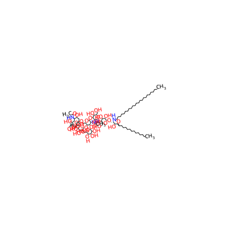 CCCCCCCCCCCCC/C=C/[C@@H](O)[C@H](CO[C@@H]1OC(CO)[C@@H](O[C@@H]2OC(CO)[C@H](O)[C@H](O[C@@H]3OC(CO[C@]4(C(=O)O)CC(O)[C@@H](NC(C)=O)C([C@H](O)[C@H](O)CO)O4)[C@@H](O[C@H]4OC(C)[C@@H](O)C(O)[C@@H]4O)[C@H](O[C@@H]4OC(CO)[C@H](O)[C@H](O)C4O)C3NC(C)=O)C2O)[C@H](O)C1O)NC(=O)CCCCCCCCCCCCCCCCCCCCCCC